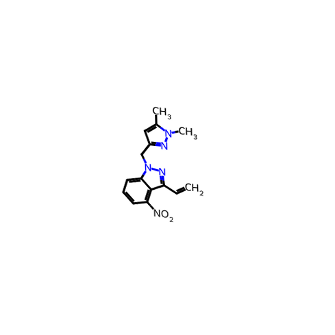 C=Cc1nn(Cc2cc(C)n(C)n2)c2cccc([N+](=O)[O-])c12